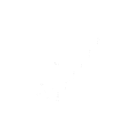 CC(=O)CCCCCCCCCC(=O)OS(=O)(=O)[O-].[Na+]